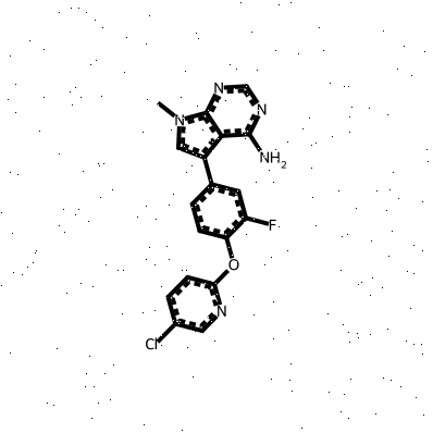 Cn1cc(-c2ccc(Oc3ccc(Cl)cn3)c(F)c2)c2c(N)ncnc21